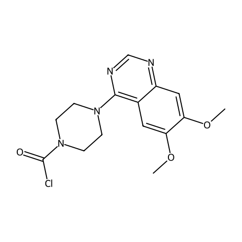 COc1cc2ncnc(N3CCN(C(=O)Cl)CC3)c2cc1OC